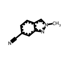 Cn1cc2ccc(C#N)cc2n1